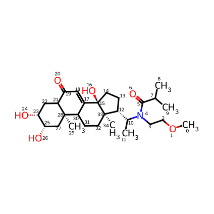 COCCN(C(=O)C(C)C)C(C)[C@H]1CC[C@@]2(O)C3=CC(=O)C4C[C@@H](O)[C@@H](O)C[C@]4(C)C3CC[C@]12C